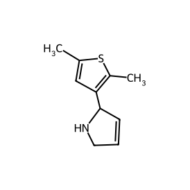 Cc1cc(C2C=CCN2)c(C)s1